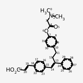 CN(C)CC(=O)Oc1ccc(CC/C(=C\c2ccc(/C=C/C(=O)O)cc2)c2ccccc2)cc1